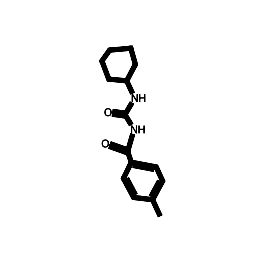 Cc1ccc(C(=O)NC(=O)NC2CCCCC2)cc1